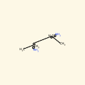 CCCCCCCCCCC(c1ccc(CCCCCCCCCCCCCCCCCc2ccc(C(CCCCCCCCCC)c3ccc(N)cc3C)cc2)cc1)c1ccc(N)cc1C